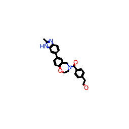 Cc1nc2ccc(-c3ccc4c(c3)CN(C(=O)c3ccc(CC=O)cc3)CCO4)cc2[nH]1